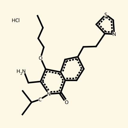 CCCCOc1c(CN)n(CC(C)C)c(=O)c2ccc(CCc3cscn3)cc12.Cl